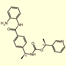 C[C@H](NC(=O)O[C@@H](C)c1cccnc1)c1ccc(C(=O)Nc2ccccc2N)cc1